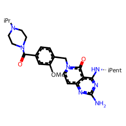 CCC[C@@H](C)Nc1nc(N)nc2ccn(Cc3ccc(C(=O)N4CCN(C(C)C)CC4)cc3OC)c(=O)c12